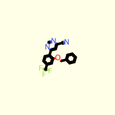 N#Cc1cc(-c2ccc(C(F)(F)F)cc2OCc2ccccc2)ncn1